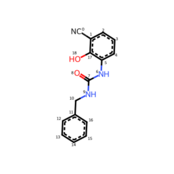 N#Cc1cccc(NC(=O)NCc2ccccc2)c1O